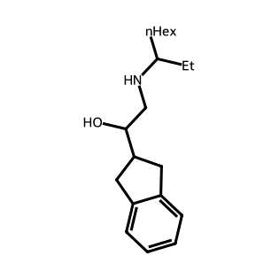 CCCCCCC(CC)NCC(O)C1Cc2ccccc2C1